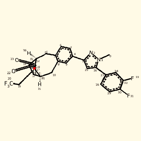 Cn1nc(-c2ccc3c(c2)C[C@H]2CC[C@@H](C3)[C@]23CN(CC(F)(F)F)S(=O)(=O)N3)cc1-c1ccc(F)c(F)c1